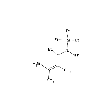 CCC(C(C)=C(C)[SiH3])N(C(C)C)[Si](CC)(CC)CC